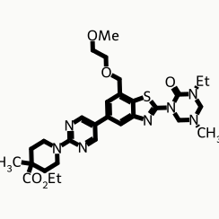 CCOC(=O)C1(C)CCN(c2ncc(-c3cc(COCCOC)c4sc(N5CN(C)CN(CC)C5=O)nc4c3)cn2)CC1